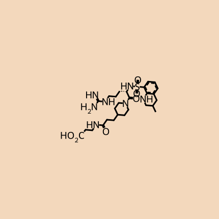 CC1CNc2c(cccc2S(=O)(=O)N[C@@H](CCCNC(=N)N)C(=O)N2CCC(CCC(=O)NCCC(=O)O)CC2)C1